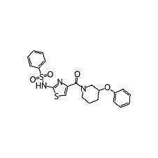 O=C(c1csc(NS(=O)(=O)c2ccccc2)n1)N1CCCC(Oc2ccccc2)C1